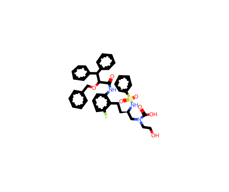 O=C(Nc1cccc(F)c1CC[C@H](CN(CCO)C(=O)O)NS(=O)(=O)c1ccccc1)C(OCc1ccccc1)C(c1ccccc1)c1ccccc1